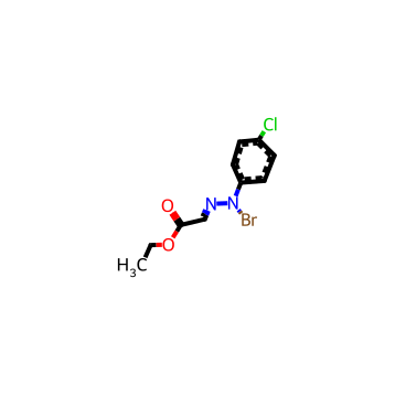 CCOC(=O)C=NN(Br)c1ccc(Cl)cc1